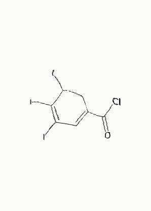 O=C(Cl)C1=CC(I)=C(I)C(I)C1